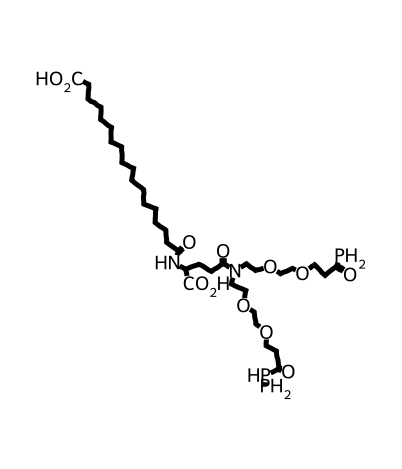 O=C(O)CCCCCCCCCCCCCCCCC(=O)NC(CCC(=O)N(CCOCCOCCC(=O)P)CCOCCOCCC(=O)PP)C(=O)O